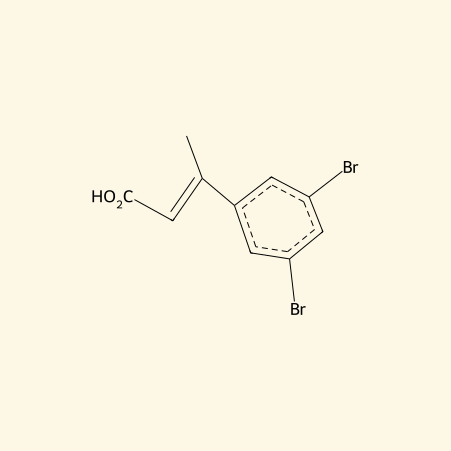 CC(=CC(=O)O)c1cc(Br)cc(Br)c1